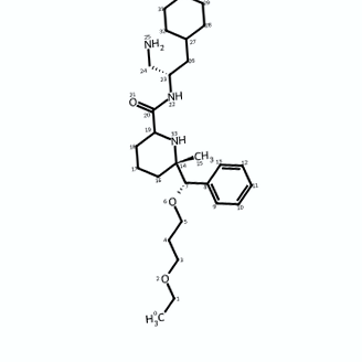 CCOCCCO[C@@H](c1ccccc1)[C@]1(C)CCCC(C(=O)N[C@H](CN)CC2CCCCC2)N1